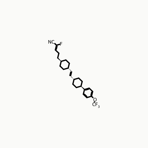 N#CC(F)=CCC[C@H]1CC[C@H](C=C[C@H]2CC[C@H](c3ccc(OC(F)(F)F)cc3)CC2)CC1